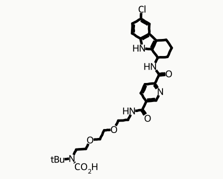 CC(C)(C)N(CCOCCOCCNC(=O)c1ccc(C(=O)NC2CCCc3c2[nH]c2ccc(Cl)cc32)nc1)C(=O)O